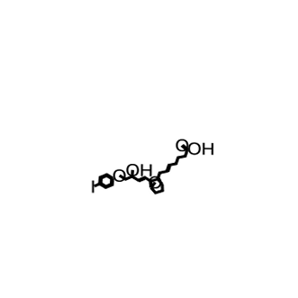 O=C(O)CCCC=CCC1C2CCC(O2)C1C=CC(O)COc1ccc(I)cc1